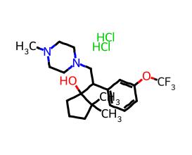 CN1CCN(CC(c2cccc(OC(F)(F)F)c2)C2(O)CCCC2(C)C)CC1.Cl.Cl